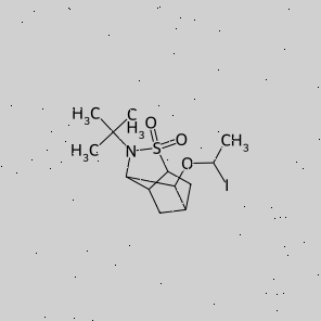 CC(I)OC1C2CC3C1N(C(C)(C)C)S(=O)(=O)C3C2